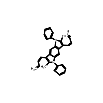 C#C/C=C\c1c(C)n(-c2ccccc2)c2cc3c(/C=C\C=C)c(C)n(-c4ccccc4)c3cc12